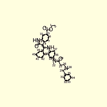 CCOC(=O)c1ccc2c(c1)NC(=O)C2=C(Nc1ccc(N(C)C(=O)CCN(C)Cc2ccccc2)cc1)c1ccccc1